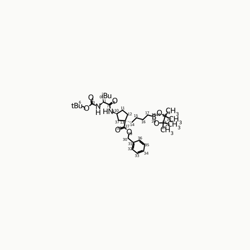 CC[C@H](C)[C@H](NC(=O)OC(C)(C)C)C(=O)N[C@H]1CC[C@@](CCCCB2OC(C)(C)C(C)(C)O2)(C(=O)OCc2ccccc2)C1